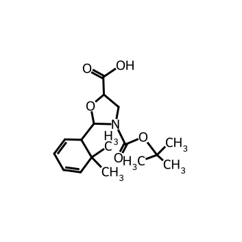 CC(C)(C)OC(=O)N1CC(C(=O)O)OC1C1C=CC=CC1(C)C